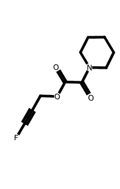 O=C(OCC#CF)C(=O)N1CCCCC1